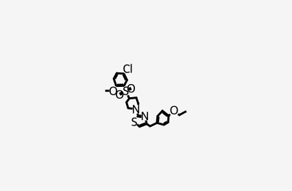 CCOc1ccc(Cc2csc(N3CCC(S(=O)(=O)c4cc(Cl)ccc4OC)CC3)n2)cc1